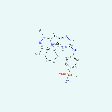 CC(=O)OC1=NN(C(C)C)c2cc3cnc(Nc4ccc(S(N)(=O)=O)cc4)nc3n2C12CCCCC2